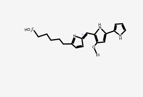 CCOc1cc(-c2ccc[nH]2)[nH]c1/C=C1\C=CC(CCCCCC(=O)O)=N1